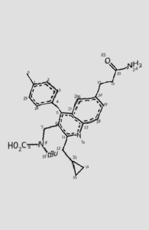 Cc1ccc(-c2c(CN(C(=O)O)C(C)(C)C)c(CC3CC3)nc3ccc(CCC(N)=O)cc23)cc1